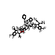 N#CC(C#N)=C1/C(=N/c2cc3sc4c(c3s2)C(C(=O)OCc2ccccc2)(C(=O)OCc2ccccc2)c2c-4sc3cc(/N=C4/C(=O)c5cc(F)c(F)cc5C4=C(C#N)C#N)sc23)C(=O)c2cc(F)c(F)cc21